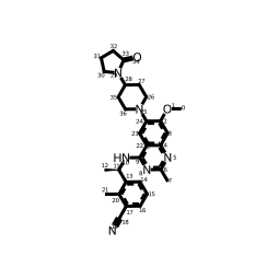 COc1cc2nc(C)nc(N[C@H](C)c3cccc(C#N)c3C)c2cc1N1CCC(N2CCCC2=O)CC1